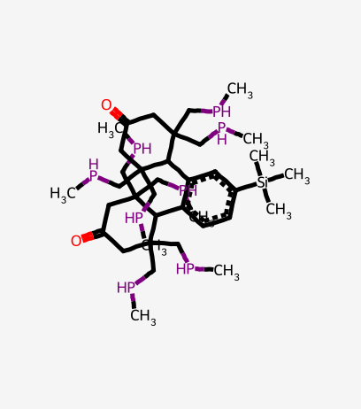 CPCC1(CPC)CC(=O)CC(CPC)(CPC)C1c1ccc([Si](C)(C)C)cc1C1C(CPC)(CPC)CC(=O)CC1(CPC)CPC